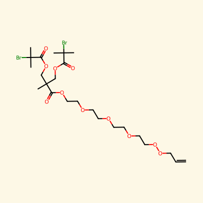 C=CCOOCCOCCOCCOCCOC(=O)C(C)(COC(=O)C(C)(C)Br)COC(=O)C(C)(C)Br